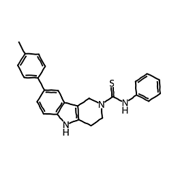 Cc1ccc(-c2ccc3[nH]c4c(c3c2)CN(C(=S)Nc2ccccc2)CC4)cc1